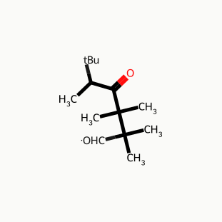 CC(C(=O)C(C)(C)C(C)(C)[C]=O)C(C)(C)C